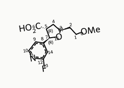 COCC[C@@H]1C[C@@H](C(=O)O)[C@H](c2ccnc(F)c2)O1